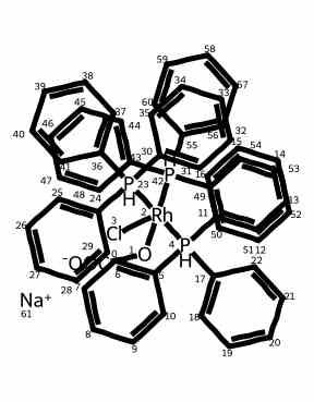 O=C([O-])[O][Rh]([Cl])([PH](c1ccccc1)(c1ccccc1)c1ccccc1)([PH](c1ccccc1)(c1ccccc1)c1ccccc1)[PH](c1ccccc1)(c1ccccc1)c1ccccc1.[Na+]